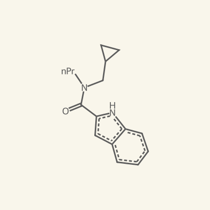 CCCN(CC1CC1)C(=O)c1cc2ccccc2[nH]1